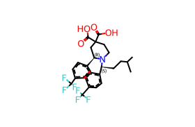 CC(C)CC[C@@H](c1ccc(C(F)(F)F)cc1)N1CCC(C(=O)O)(C(=O)O)C[C@@H]1c1ccc(C(F)(F)F)cc1